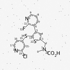 CN(Cc1cc(-c2cccnc2F)c(Sc2ccnc(Cl)c2)s1)C(=O)O